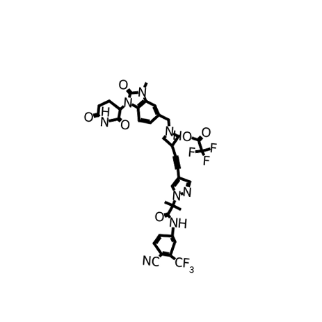 Cn1c(=O)n(C2CCC(=O)NC2=O)c2ccc(CN3CC(C#Cc4cnn(C(C)(C)C(=O)Nc5ccc(C#N)c(C(F)(F)F)c5)c4)C3)cc21.O=C(O)C(F)(F)F